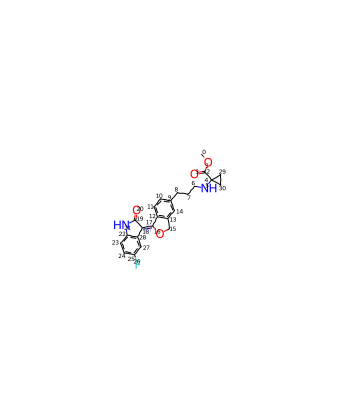 COC(=O)C1(NCCCc2ccc3c(c2)CO/C3=C2/C(=O)Nc3ccc(F)cc32)CC1